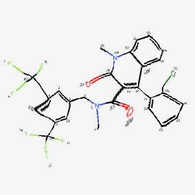 CN(Cc1cc(C(F)(F)F)cc(C(F)(F)F)c1)C(=O)c1c(-c2ccccc2Cl)c2ccccc2n(C)c1=O